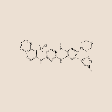 COc1cc(N2CCOCC2)c(-c2cnn(C)c2)cc1Nc1nccc(Nc2ccc3nccnc3c2P(C)(C)=O)n1